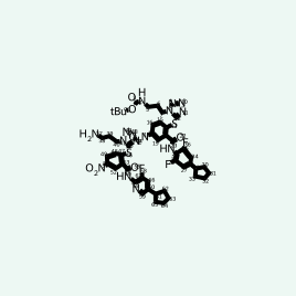 CC(C)(C)OC(=O)NCCCn1nnnc1Sc1ccc([N+](=O)[O-])cc1C(=O)Nc1c(F)cc(C2CCCC2)cc1F.NCCCn1nnnc1Sc1ccc([N+](=O)[O-])cc1C(=O)Nc1ncc(C2CCCC2)cc1F